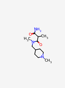 C[C](C(N)=O)C(=O)N(C)CC1CCN(C)CC1